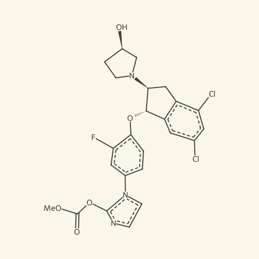 COC(=O)Oc1nccn1-c1ccc(O[C@H]2c3cc(Cl)cc(Cl)c3C[C@@H]2N2CC[C@@H](O)C2)c(F)c1